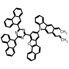 C=C/C=c1/cc2c(c/c1=C/C)c1ccccc1n2-c1cc(-c2nc(-c3cc4ccccc4c4ccccc34)nc(-c3cc4ccccc4c4ccccc34)n2)c2oc3c4ccccc4ccc3c2c1